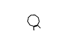 CC1=C(C)CCCCCCC1